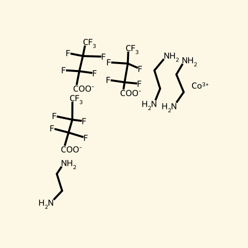 NCCN.NCCN.NCCN.O=C([O-])C(F)(F)C(F)(F)C(F)(F)F.O=C([O-])C(F)(F)C(F)(F)C(F)(F)F.O=C([O-])C(F)(F)C(F)(F)C(F)(F)F.[Co+3]